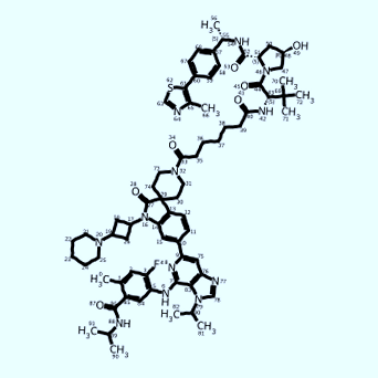 Cc1cc(F)c(Nc2nc(-c3ccc4c(c3)N(C3CC(N5CCCCC5)C3)C(=O)C43CCN(C(=O)CCCCCC(=O)N[C@H](C(=O)N4C[C@H](O)C[C@H]4C(=O)N[C@@H](C)c4ccc(-c5scnc5C)cc4)C(C)(C)C)CC3)cc3ncn(C(C)C)c23)cc1C(=O)NC(C)C